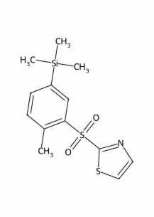 Cc1ccc([Si](C)(C)C)cc1S(=O)(=O)c1nccs1